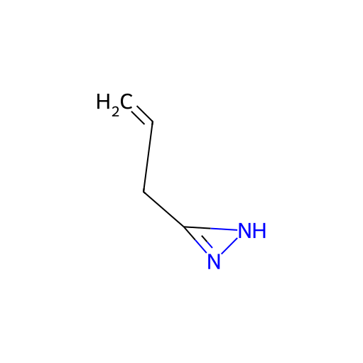 C=CCC1=NN1